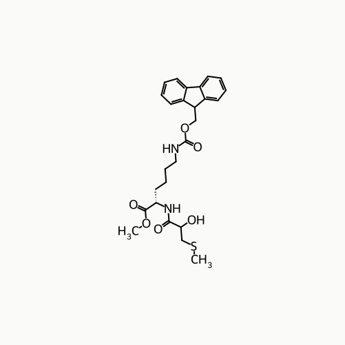 COC(=O)[C@H](CCCCNC(=O)OCC1c2ccccc2-c2ccccc21)NC(=O)C(O)CSC